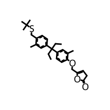 CCC(CC)(c1ccc(CSC(C)(C)C)c(C)c1)c1ccc(OCC2=CCC(=O)O2)c(C)c1